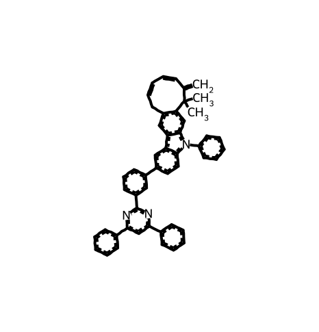 C=C1/C=C\C=C/Cc2cc3c4cc(-c5cccc(-c6nc(-c7ccccc7)cc(-c7ccccc7)n6)c5)ccc4n(-c4ccccc4)c3cc2C1(C)C